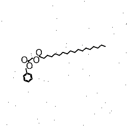 CCCCCCCCCCCCCCCCCC(=O)O[C@@H](C)C(=O)OCc1ccccc1